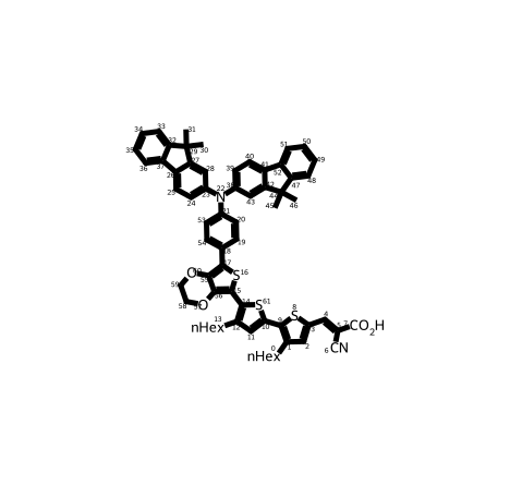 CCCCCCc1cc(/C=C(\C#N)C(=O)O)sc1-c1cc(CCCCCC)c(-c2sc(-c3ccc(N(c4ccc5c(c4)C(C)(C)c4ccccc4-5)c4ccc5c(c4)C(C)(C)c4ccccc4-5)cc3)c3c2OCCO3)s1